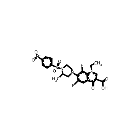 CCn1cc(C(=O)O)c(=O)c2cc(F)c(N3CCN(S(=O)(=O)c4ccc([N+](=O)[O-])cc4)C(C)C3)c(F)c21